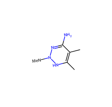 CNN1N=C(N)C(C)=C(C)N1